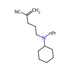 C=C(C#N)CCCN(CCC)C1CCCCC1